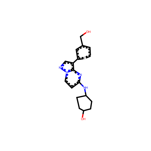 OCc1cccc(-c2cnn3ccc(NC4CCC(O)CC4)nc23)c1